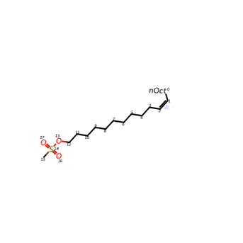 CCCCCCCC/C=C\CCCCCCCCCCOS(C)(=O)=O